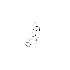 CN(C#N)C(=O)[C@H](CS(=O)(=O)Cc1ccccc1OC(F)F)NC(=O)c1ccc(Br)cc1